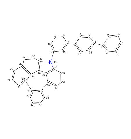 c1ccc(-c2ccc(-c3cccc(-n4c5cccc6c5c5c7c(cccc7ccc54)-c4ccccc4-6)c3)cc2)cc1